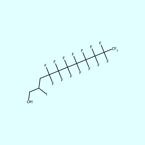 OCC(I)CC(F)(F)C(F)(F)C(F)(F)C(F)(F)C(F)(F)C(F)(F)C(F)(F)C(F)(F)F